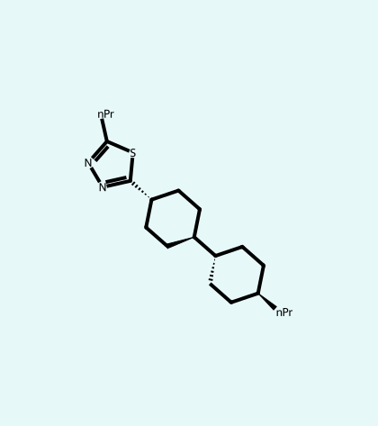 CCCc1nnc([C@H]2CC[C@H]([C@H]3CC[C@H](CCC)CC3)CC2)s1